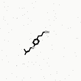 CC(C)=CCOc1ccc(CCCO)cc1